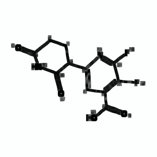 O=C1CCC(c2cc(C(=O)O)c(F)c(F)n2)C(=O)N1